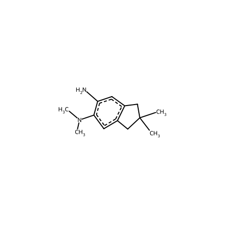 CN(C)c1cc2c(cc1N)CC(C)(C)C2